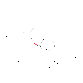 CSc1ccc(O[C@@H](C)C(=O)[O-])cc1.[Na+]